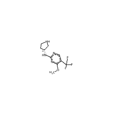 COc1nc(N[C@@H]2CCNC2)ncc1C(F)(F)F